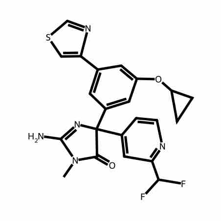 CN1C(=O)C(c2cc(OC3CC3)cc(-c3cscn3)c2)(c2ccnc(C(F)F)c2)N=C1N